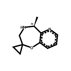 C[C@@H]1NCC2(CC2)Oc2cccnc21